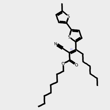 CCCCCCCCOC(=O)/C(C#N)=C(\CCCCCC)c1ccc(-c2ccc(C)s2)s1